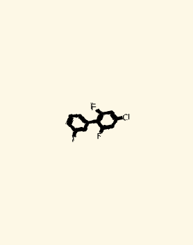 Fc1cc(Cl)cc(F)c1-c1cc[c]c(I)c1